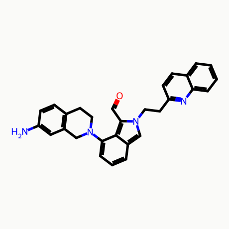 Nc1ccc2c(c1)CN(c1cccc3cn(CCc4ccc5ccccc5n4)c(C=O)c13)CC2